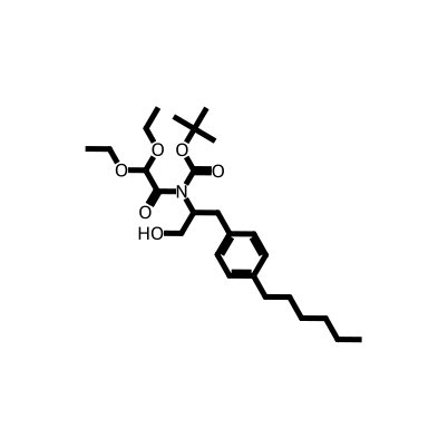 CCCCCCc1ccc(CC(CO)N(C(=O)OC(C)(C)C)C(=O)C(OCC)OCC)cc1